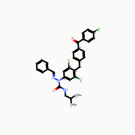 COC(CNC(=O)N(N=Cc1ccccc1)c1cc(Cl)c(Cc2ccc(C(=O)c3ccc(Cl)cc3)cc2)c(Cl)c1)OC